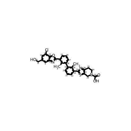 Cc1c(-c2nc3cc(CO)cc(Cl)c3o2)cccc1-c1cccc(-c2nc3c(s2)CN(C(=O)O)CC3)c1C